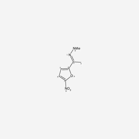 CNN=C(C)c1ccc([N+](=O)[O-])o1